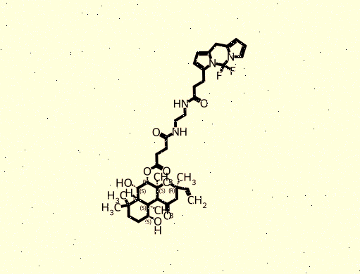 C=C[C@@]1(C)CC(=O)C2[C@@]3(C)[C@@H](O)CCC(C)(C)[C@@H]3[C@H](O)[C@H](OC(=O)CCC(=O)NCCNC(=O)CCc3ccc4n3C(F)(F)n3cccc3C4)[C@@]2(C)O1